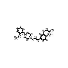 CCOc1ccccc1N1CCN(CC=Cc2ccc3c(c2)CCC(=O)N3)CC1